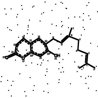 CC(C)=CCC/C(C)=C/Cc1cc2ccc(=O)oc2cc1O